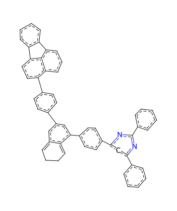 C1=c2cc(-c3ccc(-c4ccc5c6c(cccc46)-c4ccccc4-5)cc3)cc(-c3ccc(-c4cc(-c5ccccc5)nc(-c5ccccc5)n4)cc3)c2=CCC1